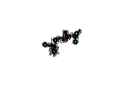 COc1ccc2c(O[C@H]3CN[C@@](C(=O)N[C@@H](CCOc4cccc(C[C@H](NC(=O)OCc5ccccc5)C(=O)Oc5c(F)c(F)c(F)c(F)c5F)c4)C(=O)O)(C(=O)OC(C)(C)C)C3)cc(-c3ccccc3)nc2c1